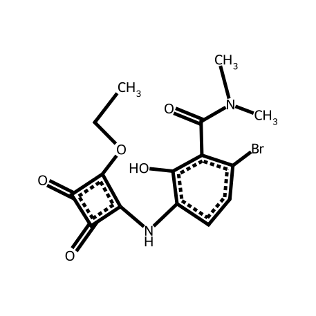 CCOc1c(Nc2ccc(Br)c(C(=O)N(C)C)c2O)c(=O)c1=O